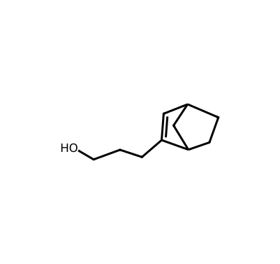 OCCCC1=CC2CCC1C2